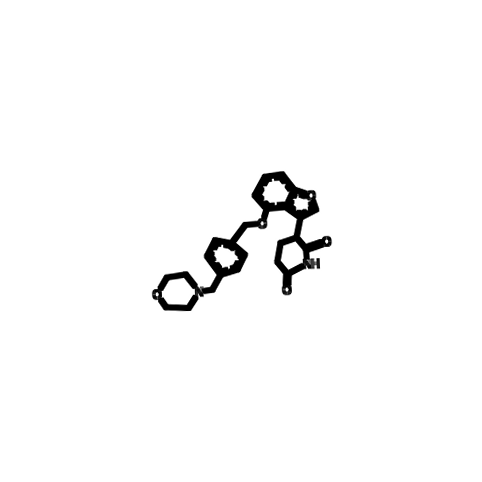 O=C1CCC(c2coc3cccc(OCc4ccc(CN5CCOCC5)cc4)c23)C(=O)N1